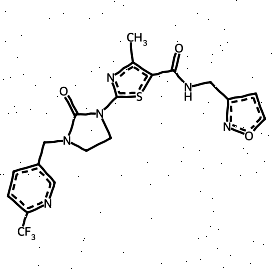 Cc1nc(N2CCN(Cc3ccc(C(F)(F)F)nc3)C2=O)sc1C(=O)NCc1ccon1